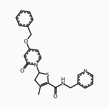 CC1=C(C(=O)NCc2cccnc2)SC(n2ccc(OCc3ccccc3)cc2=O)C1